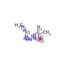 C=C/C=C(\C=C)CS(=O)(=O)N1C2CCC1CN(c1cccn3nc(Nc4cnn(CC(=O)N5CCN(C)CC5)c4)nc13)C2